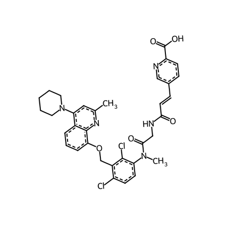 Cc1cc(N2CCCCC2)c2cccc(OCc3c(Cl)ccc(N(C)C(=O)CNC(=O)C=Cc4ccc(C(=O)O)nc4)c3Cl)c2n1